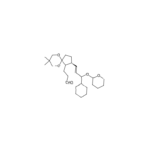 CC1(C)COC2(CC[C@@H](C=CC(OC3CCCCO3)C3CCCCC3)C2CCC=O)OC1